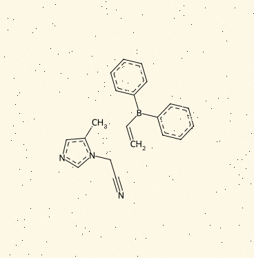 C=CB(c1ccccc1)c1ccccc1.Cc1cncn1CC#N